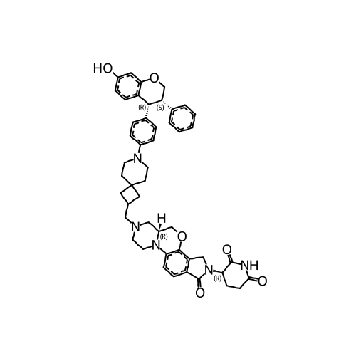 O=C1CC[C@@H](N2Cc3c(ccc4c3OC[C@H]3CN(CC5CC6(CCN(c7ccc([C@@H]8c9ccc(O)cc9OC[C@@H]8c8ccccc8)cc7)CC6)C5)CCN43)C2=O)C(=O)N1